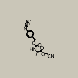 C[C@@H](NC(=O)OCc1ccc(N=[N+]=[N-])cc1)C(=O)OCC#N